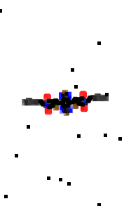 CCCCCCCCCCCCN1C(=O)c2cc(-c3c4c(c(-c5cc6c(s5)C(=O)N(CCCCCCCCCCCC)C6=O)c5nsnc35)N=S=N4)sc2C1=O